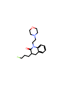 O=C1C(CCCF)Cc2ccccc2N1CCN1CCOCC1